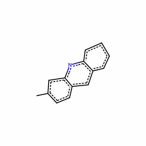 Cc1ccc2cc3ccccc3nc2c1